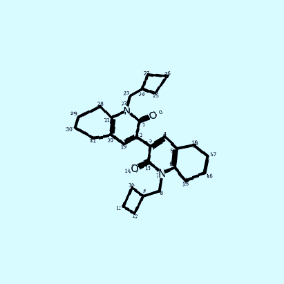 O=c1c(-c2cc3c(n(CC4CCC4)c2=O)CCCC3)cc2c(n1CC1CCC1)CCCC2